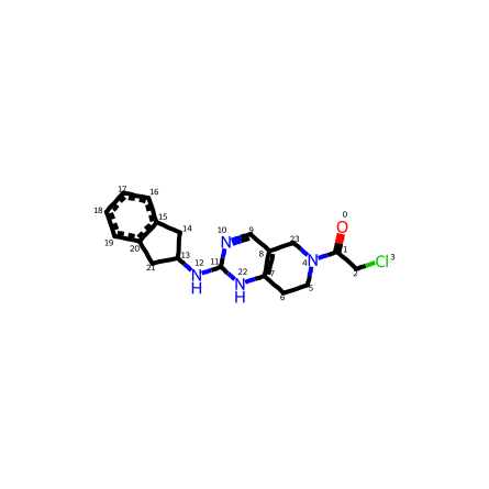 O=C(CCl)N1CCC2=C(C=NC(NC3Cc4ccccc4C3)N2)C1